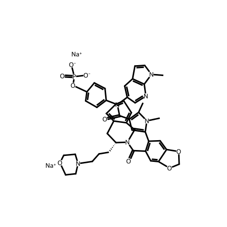 Cc1c(C(=O)N(c2ccc(OP(=O)([O-])[O-])cc2)c2cnc3c(ccn3C)c2)cc(-c2cc3c(cc2C(=O)N2Cc4ccccc4C[C@H]2CCCN2CCOCC2)OCO3)n1C.[Na+].[Na+]